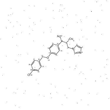 CC(Cn1ccnc1)C(O)c1ccc(OCc2ccc(Cl)cc2)cc1